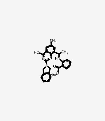 Cc1cc(C(C)Nc2ccccc2C(=O)OC(C)(C)C)c2nc(N3Cc4ccccc4C3)nc(O)c2c1